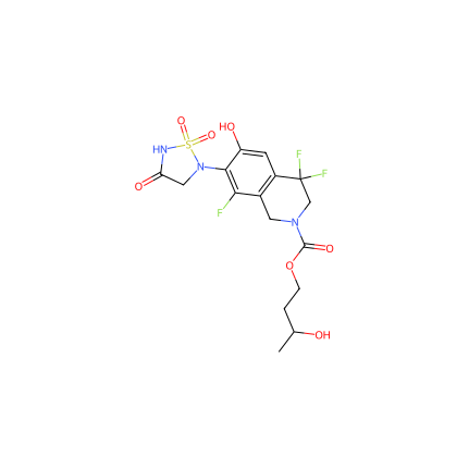 CC(O)CCOC(=O)N1Cc2c(cc(O)c(N3CC(=O)NS3(=O)=O)c2F)C(F)(F)C1